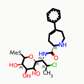 CSC1O[C@H]([C@H](NC(=O)[C@@H]2CC=C(c3ccccc3)CCN2)[C@H](C)Cl)C(O)C(O)[C@H]1O